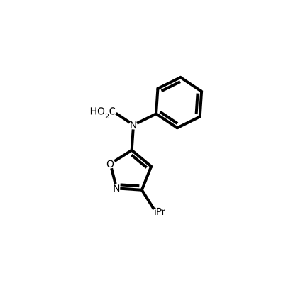 CC(C)c1cc(N(C(=O)O)c2ccccc2)on1